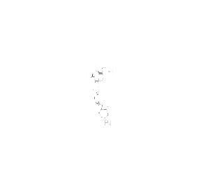 Bc1ccc(N2CCC(OCC(=O)OC(C)(C)C)CC2)cc1